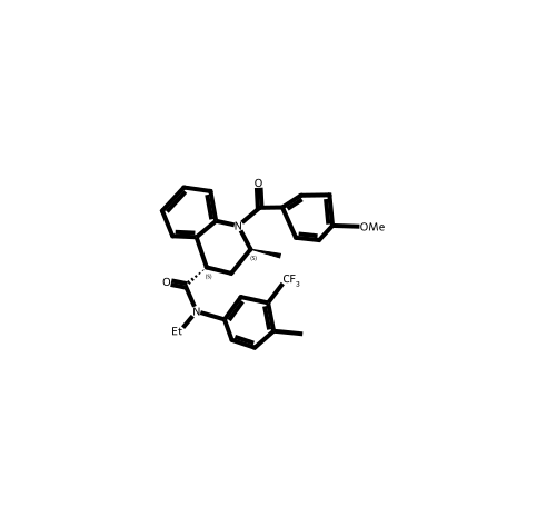 CCN(C(=O)[C@H]1C[C@H](C)N(C(=O)c2ccc(OC)cc2)c2ccccc21)c1ccc(C)c(C(F)(F)F)c1